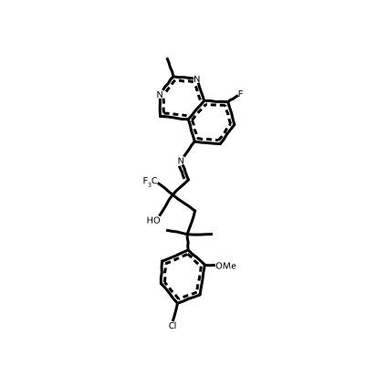 COc1cc(Cl)ccc1C(C)(C)CC(O)(C=Nc1ccc(F)c2nc(C)ncc12)C(F)(F)F